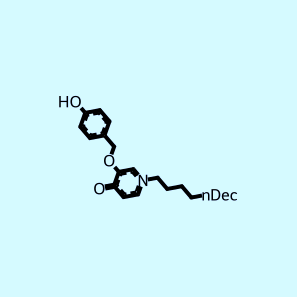 CCCCCCCCCCCCCCn1ccc(=O)c(OCc2ccc(O)cc2)c1